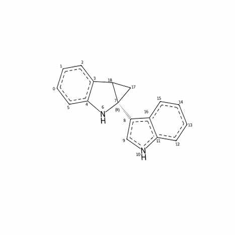 c1ccc2c(c1)N[C@]1(c3c[nH]c4ccccc34)CC21